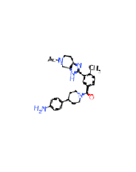 CC(=O)N1CCc2nc(-c3cc(C(=O)N4CCC(c5ccc(N)cc5)CC4)ccc3C)[nH]c2C1